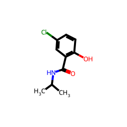 CC(C)NC(=O)c1cc(Cl)ccc1O